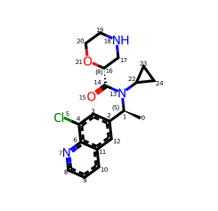 C[C@@H](c1cc(Cl)c2ncccc2c1)N(C(=O)[C@H]1CNCCO1)C1CC1